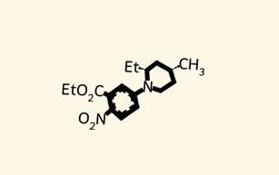 CCOC(=O)c1cc(N2CC[C@@H](C)C[C@H]2CC)ccc1[N+](=O)[O-]